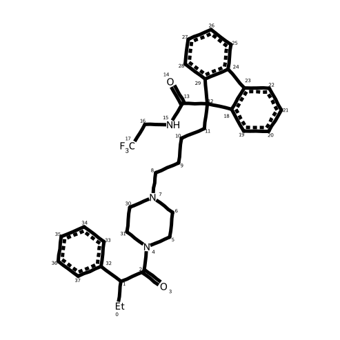 CCC(C(=O)N1CCN(CCCCC2(C(=O)NCC(F)(F)F)c3ccccc3-c3ccccc32)CC1)c1ccccc1